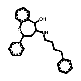 OC1c2ccccc2OC(c2ccccc2)CC1NCCCCc1ccccc1